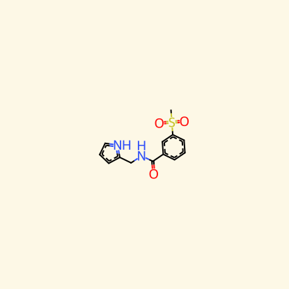 CS(=O)(=O)c1cccc(C(=O)NCc2ccc[nH]2)c1